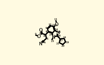 COC(=O)C(CC#N)c1ccc(OC)c2nc(C3CCCC3)n(C)c12